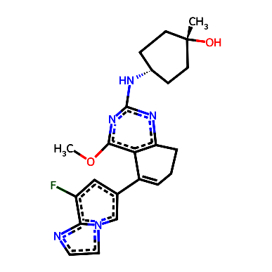 COc1nc(N[C@H]2CC[C@@](C)(O)CC2)nc2c1C(c1cc(F)c3nccn3c1)=CCC2